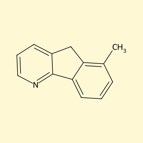 Cc1cccc2c1Cc1cccnc1-2